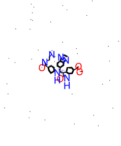 COC(=O)c1ccc2c(c1)NC(=O)/C2=C(\Nc1ccc(C(=O)N(C)CCN(C)C)cc1)c1ccc2nccnc2c1